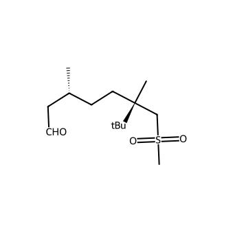 C[C@@H](CC=O)CC[C@](C)(CS(C)(=O)=O)C(C)(C)C